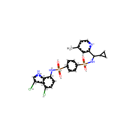 Cc1ccnc(C(NS(=O)(=O)c2ccc(S(=O)(=O)Nc3ccc(Cl)c4c(Cl)c[nH]c34)cc2)C2CC2)c1